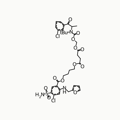 CC(C(=O)c1cccc(Cl)c1)N(C(=O)OCOC(=O)CCC(=O)OCCCCOC(=O)c1cc(S(N)(=O)=O)c(Cl)cc1NCc1ccco1)C(C)(C)C